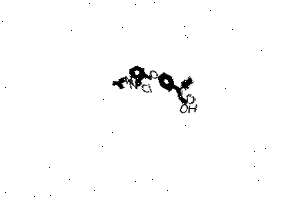 CC#C[C@@H](CC(=O)O)c1ccc(OCc2cccc3c2c(Cl)nn3CC(C)C)cc1